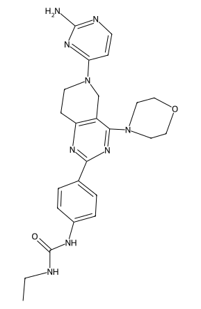 CCNC(=O)Nc1ccc(-c2nc3c(c(N4CCOCC4)n2)CN(c2ccnc(N)n2)CC3)cc1